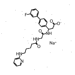 O=C([O-])CC(NC(=O)CNC(=O)CCCCNc1ccccn1)c1ccc(-c2cccc(F)c2)cc1.[Na+]